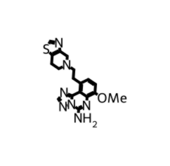 COc1ccc(CCN2CCc3scnc3C2)c2c1nc(N)n1ncnc21